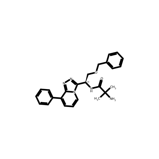 CC(C)(N)C(=O)N[C@H](COCc1ccccc1)c1nnc2c(-c3ccccc3)cccn12